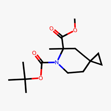 COC(=O)C1(C)CC2(CCN1C(=O)OC(C)(C)C)CC2